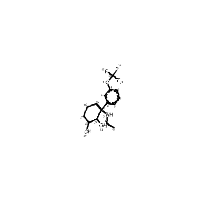 CCNC1(c2cccc(OC(F)(F)F)c2)CCCC(O)C1O